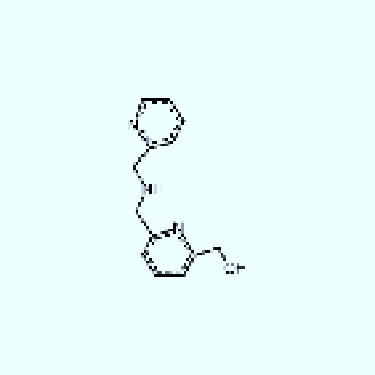 OCc1cccc(CNCc2ccccn2)n1